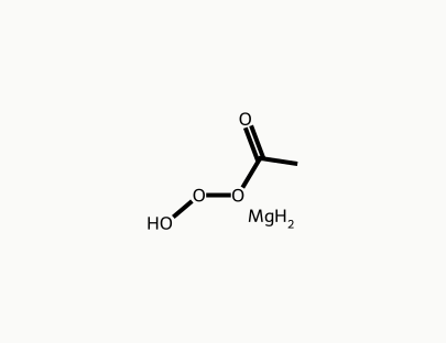 CC(=O)OOO.[MgH2]